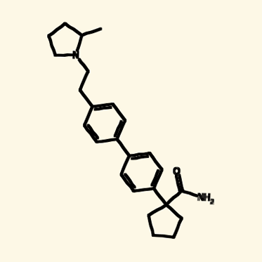 CC1CCCN1CCc1ccc(-c2ccc(C3(C(N)=O)CCCC3)cc2)cc1